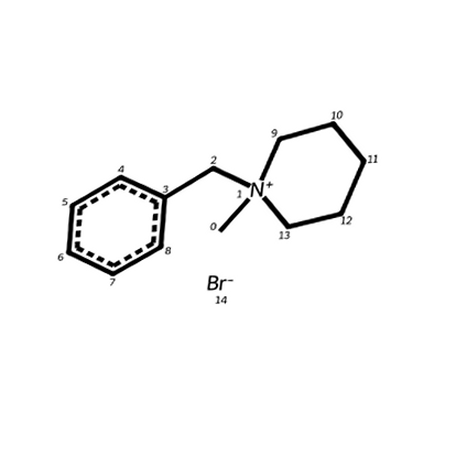 C[N+]1(Cc2ccccc2)CCCCC1.[Br-]